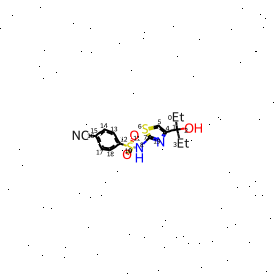 CCC(O)(CC)c1csc(NS(=O)(=O)c2ccc(C#N)cc2)n1